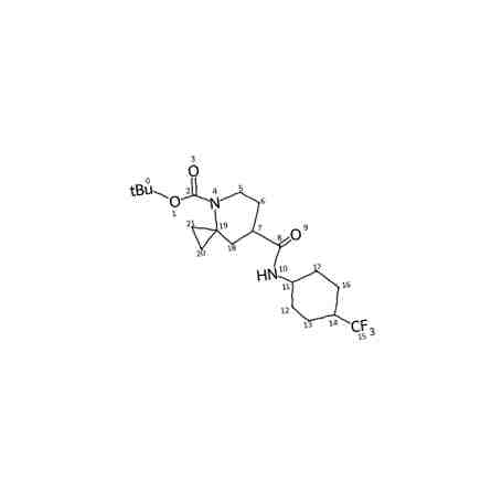 CC(C)(C)OC(=O)N1CCC(C(=O)NC2CCC(C(F)(F)F)CC2)CC12CC2